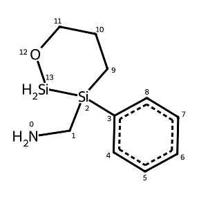 NC[Si]1(c2ccccc2)CCCO[SiH2]1